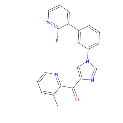 Cc1cccnc1C(=O)c1cn(-c2cccc(-c3cccnc3F)c2)cn1